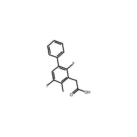 Cc1c(I)cc(-c2ccccc2)c(F)c1CC(=O)O